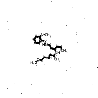 C/C=C\C(=C/CNSc1ccccc1OC)NC(C)CNCCOC